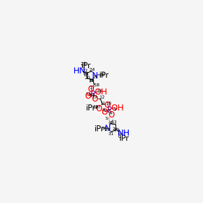 CC(C)N[C@@H]1C[C@@H](COP(=O)(O)OC(COP(=O)(O)OC[C@H]2C[C@H](NC(C)C)CN2C(C)C)OC(C)C)N(C(C)C)C1